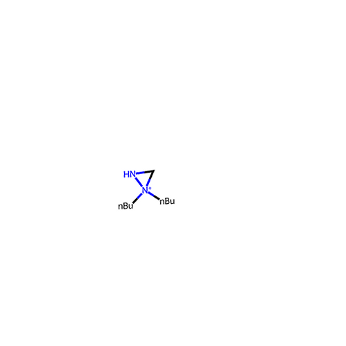 CCCC[N+]1(CCCC)CN1